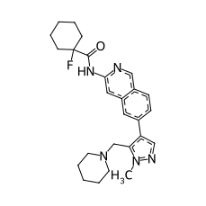 Cn1ncc(-c2ccc3cnc(NC(=O)C4(F)CCCCC4)cc3c2)c1CN1CCCCC1